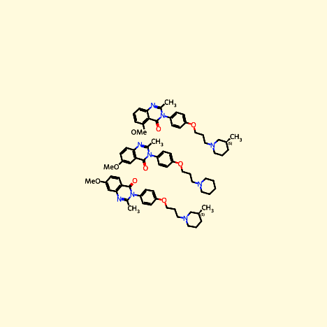 COc1ccc2c(=O)n(-c3ccc(OCCCN4CCC[C@H](C)C4)cc3)c(C)nc2c1.COc1ccc2nc(C)n(-c3ccc(OCCCN4CCCCC4)cc3)c(=O)c2c1.COc1cccc2nc(C)n(-c3ccc(OCCCN4CCC[C@H](C)C4)cc3)c(=O)c12